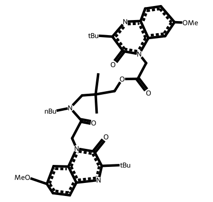 CCCCN(CC(C)(C)COC(=O)Cn1c(=O)c(C(C)(C)C)nc2ccc(OC)cc21)C(=O)Cn1c(=O)c(C(C)(C)C)nc2ccc(OC)cc21